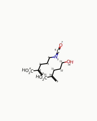 C=C(CCCN=C=O)C(=O)O.C=C(CCCO)C(=O)O